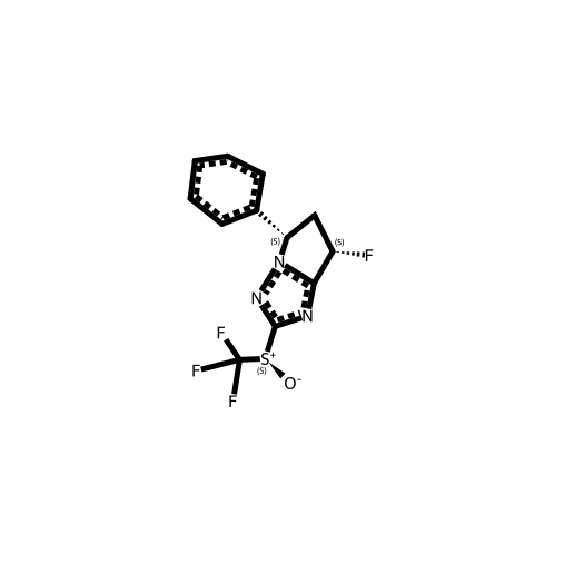 [O-][S@+](c1nc2n(n1)[C@H](c1ccccc1)C[C@@H]2F)C(F)(F)F